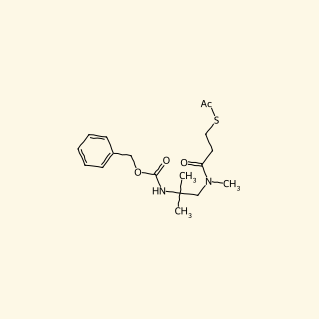 CC(=O)SCCC(=O)N(C)CC(C)(C)NC(=O)OCc1ccccc1